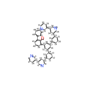 c1cncc(-c2cncc(-c3cccc(-c4cc(-c5cccc(-c6cncc(-c7cccnc7)c6)c5)cc(-c5cccc6c5oc5ccccc56)c4)c3)c2)c1